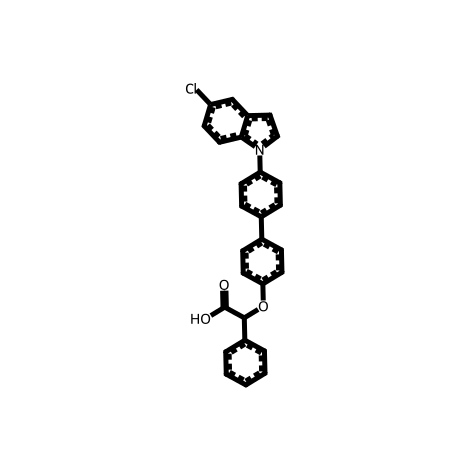 O=C(O)C(Oc1ccc(-c2ccc(-n3ccc4cc(Cl)ccc43)cc2)cc1)c1ccccc1